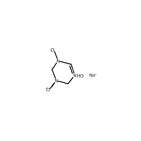 ClN1C=NCN(Cl)C1.[Na+].[OH-]